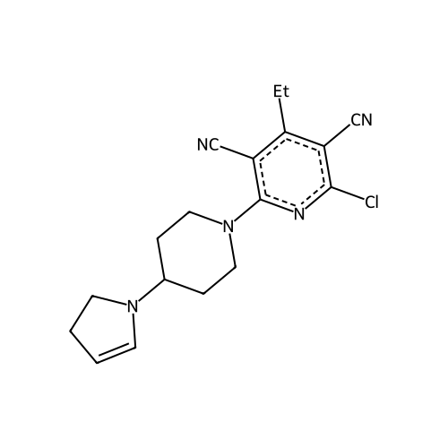 CCc1c(C#N)c(Cl)nc(N2CCC(N3C=CCC3)CC2)c1C#N